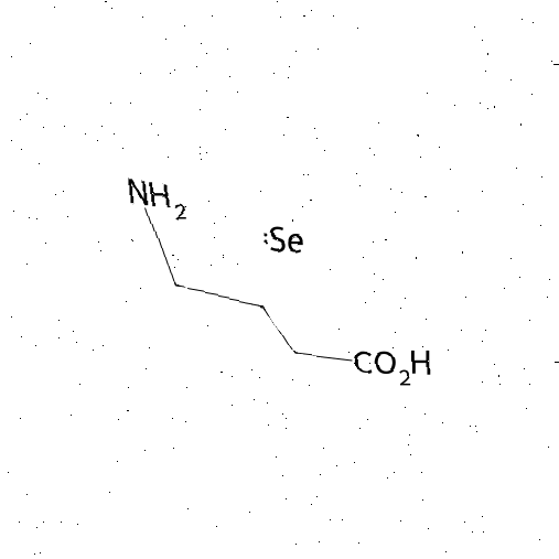 NCCCC(=O)O.[Se]